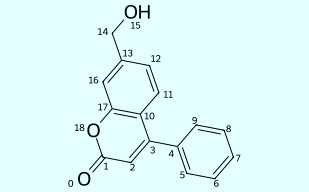 O=c1cc(-c2ccccc2)c2ccc(CO)cc2o1